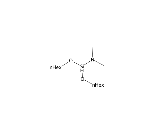 CCCCCCO[SiH](OCCCCCC)N(C)C